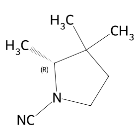 C[C@H]1N(C#N)CCC1(C)C